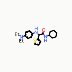 CCN(CC)c1ccc(NC(C(=O)NC2CCCCC2)c2cccs2)cc1